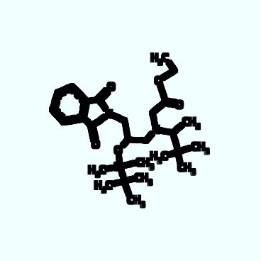 CCOC(=O)CN(CC(CN1C(=O)c2ccccc2C1=O)O[Si](C)(C)C(C)(C)C)C(C)C(C)(C)C